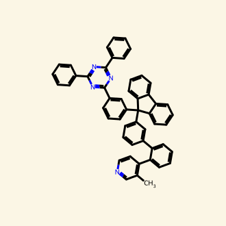 Cc1cnccc1-c1ccccc1-c1cccc(C2(c3cccc(-c4nc(-c5ccccc5)nc(-c5ccccc5)n4)c3)c3ccccc3-c3ccccc32)c1